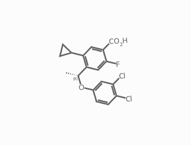 C[C@@H](Oc1ccc(Cl)c(Cl)c1)c1cc(F)c(C(=O)O)cc1C1CC1